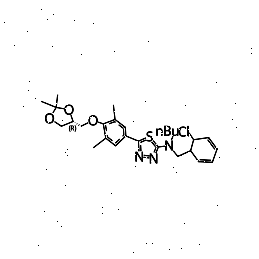 CCCCN(CC1C=CC=CC1Cl)c1nnc(-c2cc(C)c(OC[C@@H]3COC(C)(C)O3)c(C)c2)s1